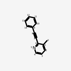 Cc1cccnc1C#Cc1[c]cccc1